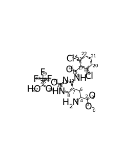 COC(=O)C(N)Cc1c[nH]c(=O)nc1NC(=O)c1c(Cl)cccc1Cl.O=C(O)C(F)(F)F